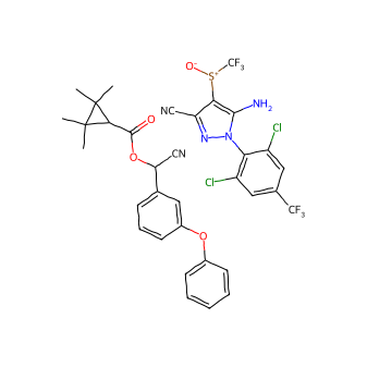 CC1(C)C(C(=O)OC(C#N)c2cccc(Oc3ccccc3)c2)C1(C)C.N#Cc1nn(-c2c(Cl)cc(C(F)(F)F)cc2Cl)c(N)c1[S+]([O-])C(F)(F)F